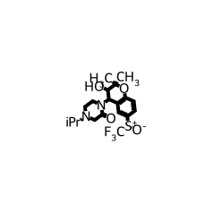 CC(C)N1CCN(C2c3cc([S+]([O-])C(F)(F)F)ccc3OC(C)(C)C2O)C(=O)C1